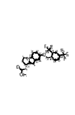 O=C(O)C[C@@H]1CCn2c1cc1cc(OCc3ccc(C(F)(F)F)cc3C(F)(F)F)ccc12